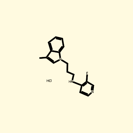 Cc1cn(CCCNc2ccncc2F)c2ccccc12.Cl